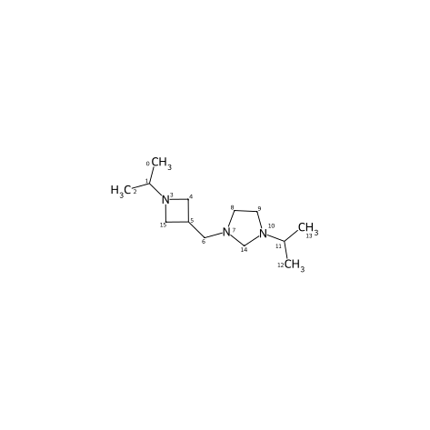 CC(C)N1CC(CN2CCN(C(C)C)C2)C1